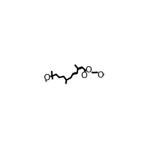 COCCOC(=O)C=C(C)C=CCC(C)CCCC(C)(C)OC